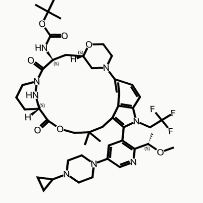 CO[C@@H](C)c1ncc(N2CCN(C3CC3)CC2)cc1-c1c2c3cc(ccc3n1CC(F)(F)F)N1CCO[C@@H](C[C@H](NC(=O)OC(C)(C)C)C(=O)N3CCC[C@H](N3)C(=O)OCC(C)(C)C2)C1